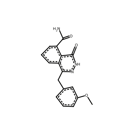 COc1cccc(Cc2n[nH]c(=O)c3c(C(N)=O)[c]ccc23)c1